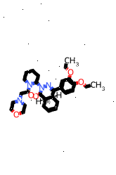 CCOc1ccc(C2=NN(C3CCCCN3C(=O)CN3CCOCC3)C(=O)[C@@H]3CC=CC[C@H]23)cc1OCC